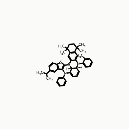 Cc1ccccc1N1c2cc3c(cc2B2c4sc5ccc(C(C)C)cc5c4N(c4ccccc4)C4=CC=C[C@@H]1[C@@H]24)C(C)(C)CCC3(C)C